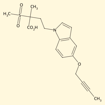 CC#CCOc1ccc2c(ccn2CCC(C)(C(=O)O)S(C)(=O)=O)c1